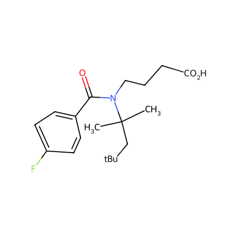 CC(C)(C)CC(C)(C)N(CCCC(=O)O)C(=O)c1ccc(F)cc1